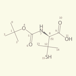 CC(C)(C)OC(=O)N[C@@H](C(=O)O)C(C)(C)S